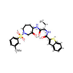 COc1cccc(S(=O)(=O)N2CCCC(NC(=O)[C@H](CC(C)C)NC(=O)c3cc4ccccc4s3)C(=O)C2)c1